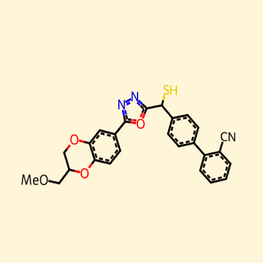 COCC1COc2cc(-c3nnc(C(S)c4ccc(-c5ccccc5C#N)cc4)o3)ccc2O1